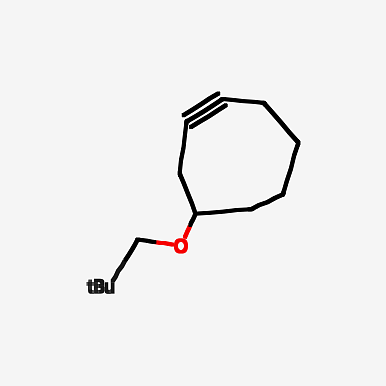 CC(C)(C)COC1CC#CCCCC1